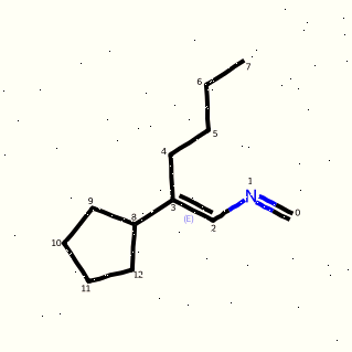 C=N/C=C(\CCCC)C1CCCC1